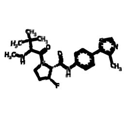 CNC(C(=O)N1CC[C@H](F)[C@H]1C(=O)Nc1ccc(-c2scnc2C)cc1)C(C)(C)C